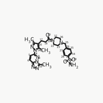 Cc1nn(-c2ccc3nnc(C)n3n2)c(C)c1CCC(=O)N1CCN(Cc2ccc(S(N)(=O)=O)cc2)CC1